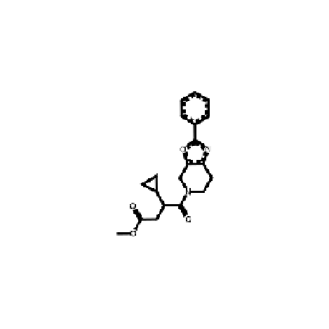 COC(=O)CC(C(=O)N1CCc2nc(-c3ccccc3)oc2C1)C1CC1